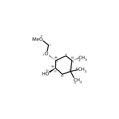 COCO[C@@H]1C[C@H](C)C(C)(C)C[C@H]1O